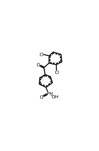 O=C(c1ccc([PH](=O)O)cc1)c1c(Cl)cccc1Cl